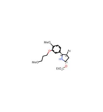 CCOC(=O)O[C@H]1C[C@H](C(C)=O)[C@H](c2ccc(OC)c(OCCCOC)c2)N1